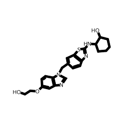 OCCOc1ccc2c(c1)ncn2Cc1ccc2nc(NC3CCCCC3O)sc2c1